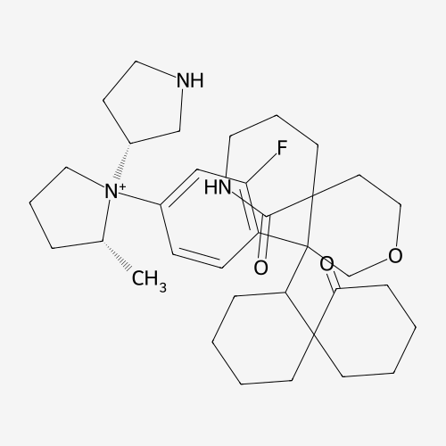 C[C@@H]1CCC[N+]1(c1ccc(C2(C3CCCCC34CCCCC4=O)COCCC23CCCNC3=O)c(F)c1)[C@@H]1CCNC1